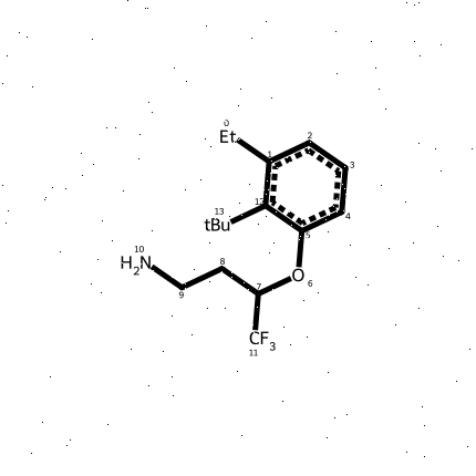 CCc1cccc(OC(CCN)C(F)(F)F)c1C(C)(C)C